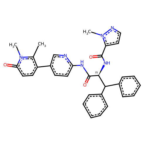 Cc1c(-c2ccc(NC(=O)[C@@H](NC(=O)c3ccnn3C)C(c3ccccc3)c3ccccc3)nc2)ccc(=O)n1C